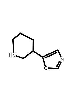 c1ncc(C2CCCNC2)o1